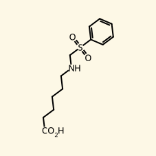 O=C(O)CCCCCNCS(=O)(=O)c1ccccc1